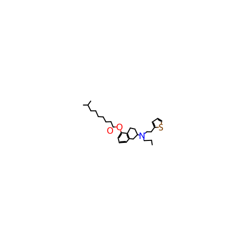 CCCN(CCc1cccs1)C1CCc2c(cccc2OC(=O)CCCCCCC(C)C)C1